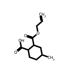 C=CCOC(=O)C1CC(C)CCC1C(=O)O